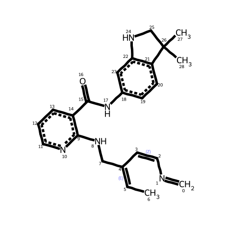 C=N/C=C\C(=C/C)CNc1ncccc1C(=O)Nc1ccc2c(c1)NCC2(C)C